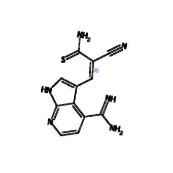 N#C/C(=C/c1c[nH]c2nccc(C(=N)N)c12)C(N)=S